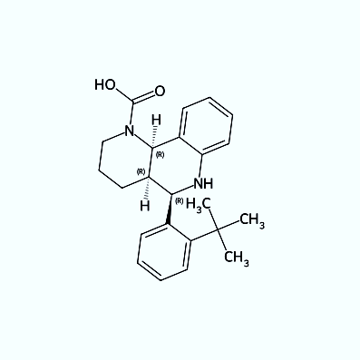 CC(C)(C)c1ccccc1[C@@H]1Nc2ccccc2[C@H]2[C@@H]1CCCN2C(=O)O